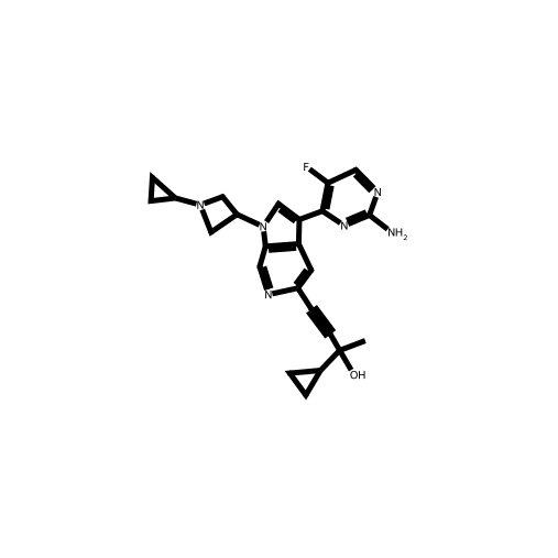 CC(O)(C#Cc1cc2c(-c3nc(N)ncc3F)cn(C3CN(C4CC4)C3)c2cn1)C1CC1